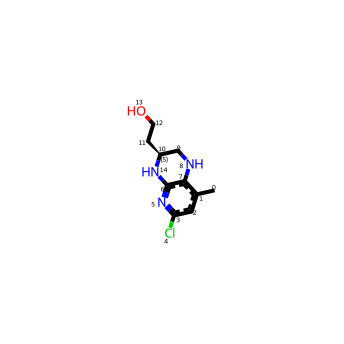 Cc1cc(Cl)nc2c1NC[C@H](CCO)N2